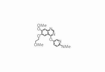 CNc1ccc(Oc2ncnc3cc(OOC)c(OCCOC)cc23)cn1